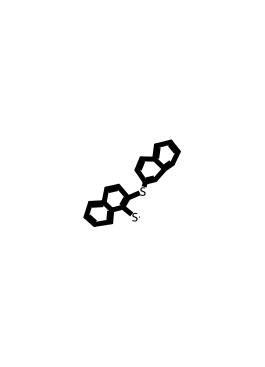 [S]c1c(Sc2ccc3ccccc3c2)ccc2ccccc12